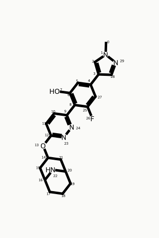 Cn1cc(-c2cc(O)c(-c3ccc(OC4CC5CCCC(C4)N5)nn3)c(F)c2)cn1